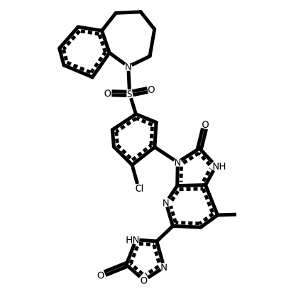 Cc1cc(-c2noc(=O)[nH]2)nc2c1[nH]c(=O)n2-c1cc(S(=O)(=O)N2CCCCc3ccccc32)ccc1Cl